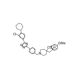 COc1ccc(CC2(C(=O)O)CCN(Cc3ccc(-c4noc(-c5ccc(C6CCCCC6)c(Cl)c5)n4)cc3)CC2)cc1